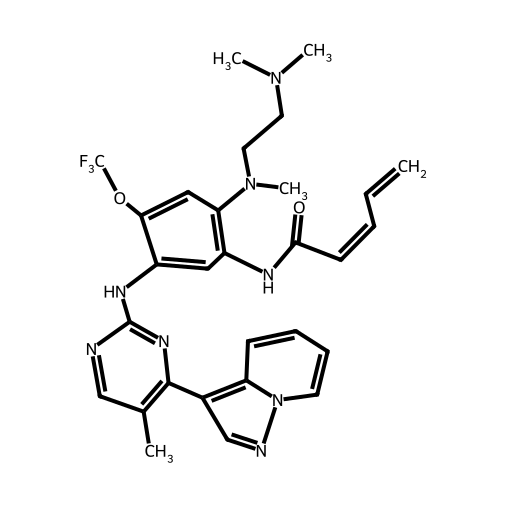 C=C/C=C\C(=O)Nc1cc(Nc2ncc(C)c(-c3cnn4ccccc34)n2)c(OC(F)(F)F)cc1N(C)CCN(C)C